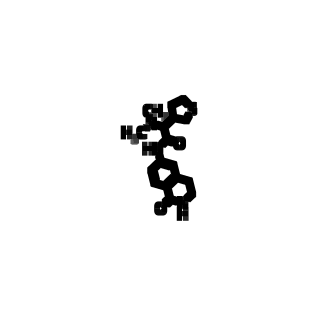 CN(C)C(C(=O)Nc1ccc2c(c1)CCNC2=O)C1CCSC1